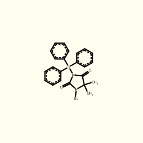 CCN1C(=O)N([Si](c2ccccc2)(c2ccccc2)c2ccccc2)C(=O)C1(C)C